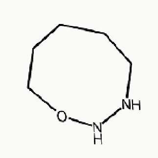 C1CCNNOCC1